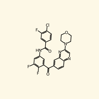 O=C(Nc1cc(F)c(F)c(C(=O)c2ccc3ncc(N4CCOCC4)nc3c2)c1)c1ccc(Cl)c(F)c1